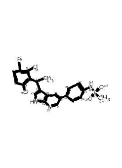 CC(c1c(Cl)ccc(F)c1Cl)c1c[nH]c2ncc(-c3ccc(NS(C)(=O)=O)cc3)cc12